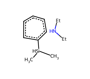 CCNCC.C[SiH](C)c1ccccc1